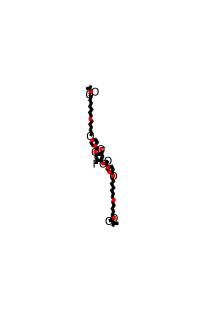 C=C(C)C(=O)OCCCCCCCCCCCCCOc1ccc(C(=O)Oc2cc(F)c(OC(=O)c3ccc(OCCCCCCCCCCCCCOC(=O)C(=C)C)cc3)cc2F)cc1